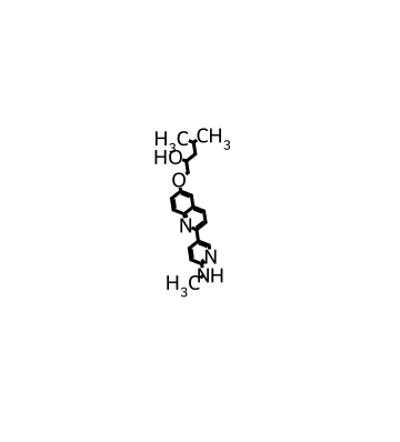 CNc1ccc(-c2ccc3cc(OCC(O)CC(C)C)ccc3n2)cn1